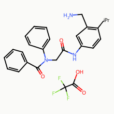 CC(C)c1ccc(NC(=O)CN(C(=O)c2ccccc2)c2ccccc2)cc1CN.O=C(O)C(F)(F)F